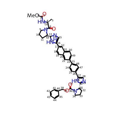 COC(=O)N[C@@H](C)C(=O)N1CCC[C@H]1C1NC=C(c2ccc3cc(-c4ccc(-c5cnc([C@@H]6CCCN6C(=O)OCc6ccccc6)[nH]5)cc4)ccc3c2)N1